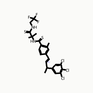 Cc1cc(/C=C/C(C)c2cc(Cl)c(Cl)c(Cl)c2)ccc1C(=S)NC(C)(C)C(=S)NCC(F)(F)F